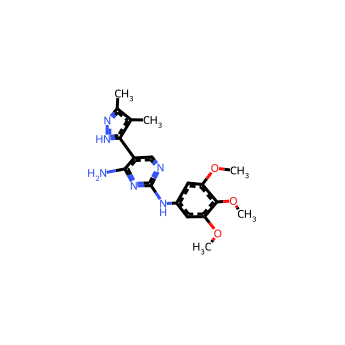 COc1cc(Nc2ncc(-c3[nH]nc(C)c3C)c(N)n2)cc(OC)c1OC